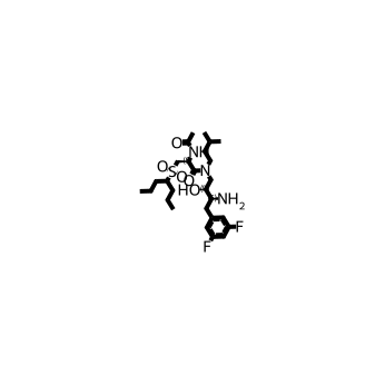 CCCC(CCC)S(=O)(=O)C[C@@H](NC(C)=O)C(=O)N(CCC(C)C)C[C@@H](O)[C@@H](N)Cc1cc(F)cc(F)c1